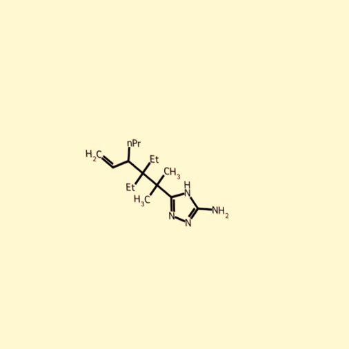 C=CC(CCC)C(CC)(CC)C(C)(C)c1nnc(N)[nH]1